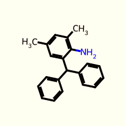 Cc1cc(C)c(N)c(C(c2ccccc2)c2ccccc2)c1